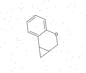 [CH]1Oc2ccccc2C2CC12